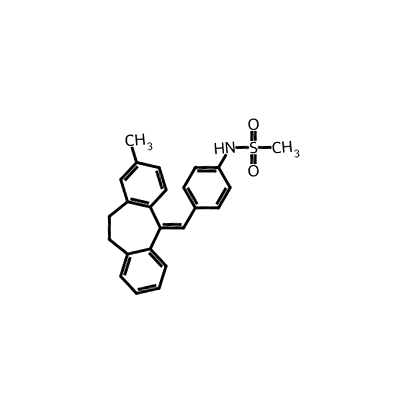 Cc1ccc2c(c1)CCc1ccccc1/C2=C/c1ccc(NS(C)(=O)=O)cc1